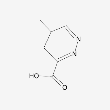 CC1C=NN=C(C(=O)O)C1